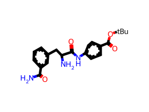 CC(C)(C)OC(=O)c1ccc(NC(=O)C(N)Cc2cccc(C(N)=O)c2)cc1